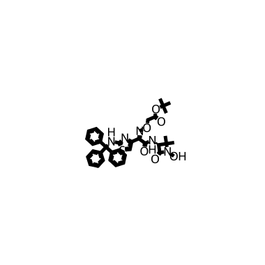 CC(C)(C)OC(=O)CON=C(C(=O)N[C@@H]1C(=O)N(O)C1(C)C)c1csc(NC(c2ccccc2)(c2ccccc2)c2ccccc2)n1